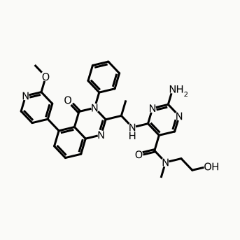 COc1cc(-c2cccc3nc(C(C)Nc4nc(N)ncc4C(=O)N(C)CCO)n(-c4ccccc4)c(=O)c23)ccn1